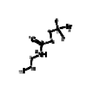 CC(C)(Br)CCC(=O)NCCI